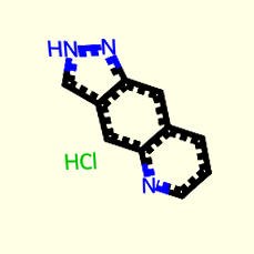 Cl.c1cnc2cc3c[nH]nc3cc2c1